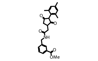 COC(=O)c1cccc(CNC(=O)CC2CC(=O)C(c3c(C)cc(C)cc3C)C2=O)c1